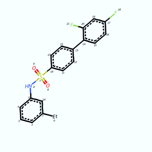 CCc1cccc(NS(=O)(=O)c2ccc(-c3ccc(F)cc3F)cc2)c1